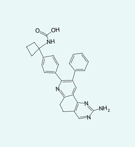 Nc1ncc2c(n1)-c1cc(-c3ccccc3)c(-c3ccc(C4(NC(=O)O)CCC4)cc3)nc1CC2